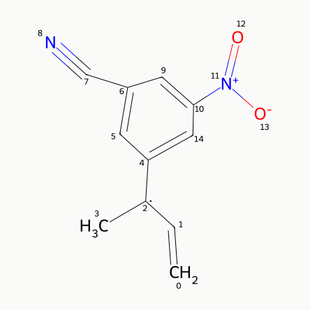 C=C[C](C)c1cc(C#N)cc([N+](=O)[O-])c1